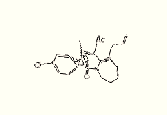 C=CCC1=C(C(C(C)=O)=C(C)O)N(S(=O)(=O)c2ccc(Cl)cc2)CCCC1